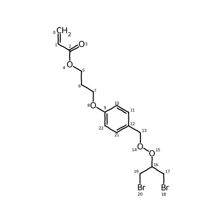 C=CC(=O)OCCCOc1ccc(COOC(CBr)CBr)cc1